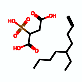 C=CCCC(CC)CCCC.O=C(O)CC(C(=O)O)S(=O)(=O)O